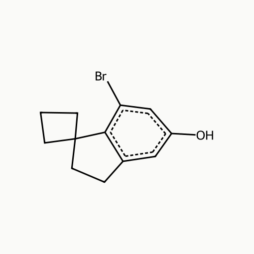 Oc1cc(Br)c2c(c1)CCC21CCC1